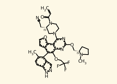 C=CC(=O)N1CCN(c2nc(OC[C@@H]3CCCN3C)nc3c(OCC(F)(F)F)c(-c4c(C)ccc5[nH]ncc45)c4ccoc4c23)C[C@@H]1CC#N